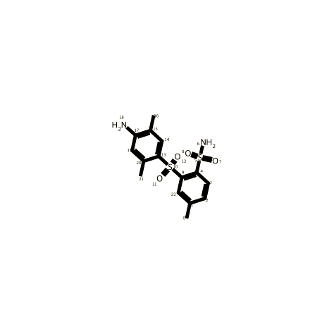 Cc1ccc(S(N)(=O)=O)c(S(=O)(=O)c2cc(C)c(N)cc2C)c1